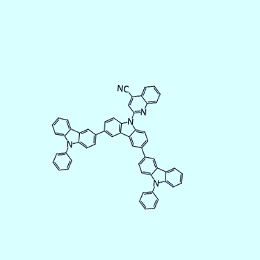 N#Cc1cc(-n2c3ccc(-c4ccc5c(c4)c4ccccc4n5-c4ccccc4)cc3c3cc(-c4ccc5c(c4)c4ccccc4n5-c4ccccc4)ccc32)nc2ccccc12